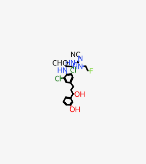 N#C/N=C(/NCCF)NC[C@@H](C=O)Nc1c(Cl)cc(CCC(O)c2cccc(O)c2)cc1Cl